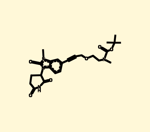 CN(CCOCC#Cc1ccc2c(c1)n(C)c(=O)n2C1CCC(=O)NC1=O)C(=O)OC(C)(C)C